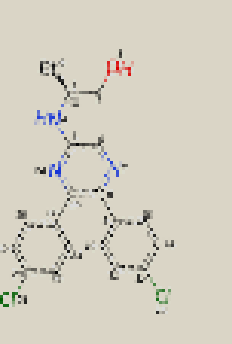 CC[C@@H](CO)Nc1cnc(-c2ccc(Cl)cc2)c(-c2ccc(Cl)cc2)n1